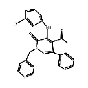 CC(=O)c1c(-c2ccccc2)nn(Cc2ccncc2)c(=O)c1Nc1cccc(Cl)c1